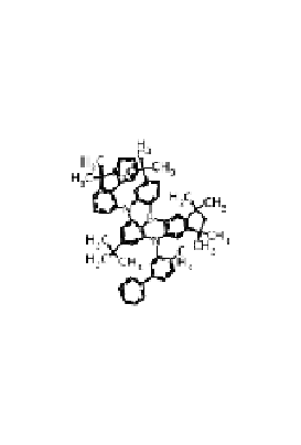 Cc1ccc(-c2ccccc2)cc1N1c2cc3c(cc2B2c4ccc(C(C)(C)C)cc4N(c4cccc5c4-c4ccccc4C5(C)C)c4cc(C(C)(C)C)cc1c42)C(C)(C)CC3(C)C